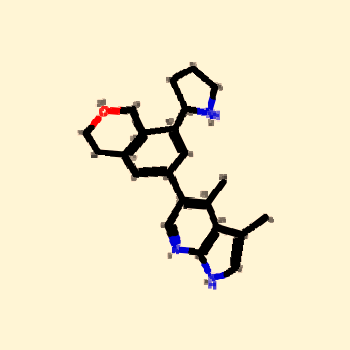 Cc1c[nH]c2ncc(-c3cc4c(c(C5CCCN5)c3)COCC4)c(C)c12